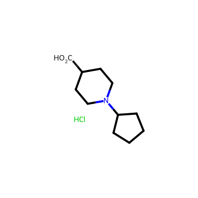 Cl.O=C(O)C1CCN(C2CCCC2)CC1